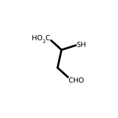 O=CCC(S)C(=O)O